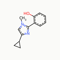 Cn1cc(C2CC2)nc1-c1ccccc1O